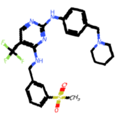 CS(=O)(=O)c1cccc(CNc2nc(Nc3ccc(CN4CCCCC4)cc3)ncc2C(F)(F)F)c1